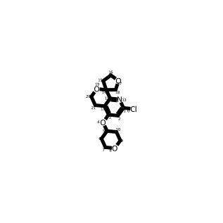 Clc1cc(OC2CCOCC2)c2c(n1)C1(CCOC1)OCC2